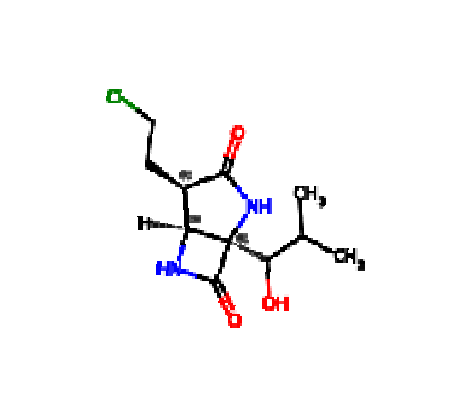 CC(C)C(O)[C@@]12NC(=O)[C@H](CCCl)[C@@H]1NC2=O